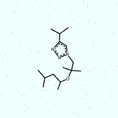 CC(C)CC(C)OC(C)(C)Cn1cc(C(C)C)nn1